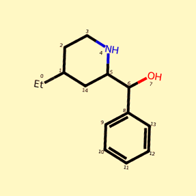 CCC1CCNC(C(O)c2ccccc2)C1